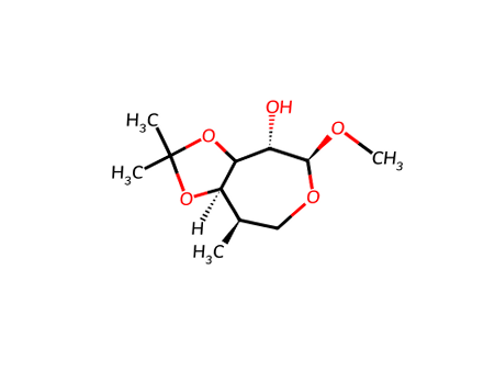 CO[C@H]1OC[C@@H](C)[C@H]2OC(C)(C)OC2[C@@H]1O